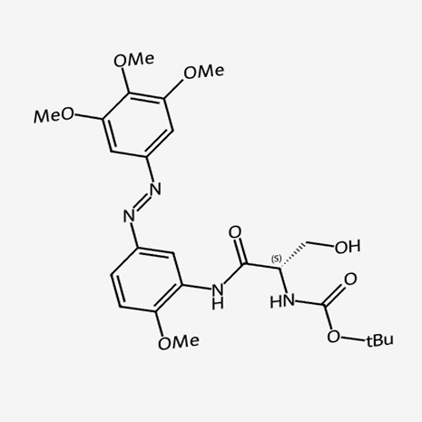 COc1ccc(N=Nc2cc(OC)c(OC)c(OC)c2)cc1NC(=O)[C@H](CO)NC(=O)OC(C)(C)C